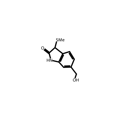 CSC1C(=O)Nc2cc(CO)ccc21